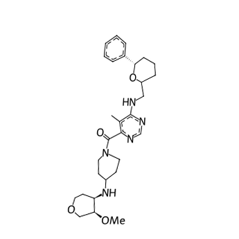 CO[C@H]1COCC[C@H]1NC1CCN(C(=O)c2ncnc(NCC3CCC[C@@H](c4ccccc4)O3)c2C)CC1